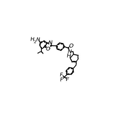 CC(C)c1cc(N)cc2nc(-c3ccc(C(=O)NCC4CC=C(Cc5ccc(C(F)(F)F)cc5)CC4)cc3)oc12